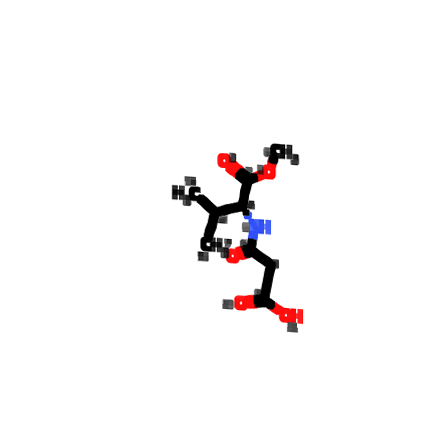 COC(=O)[C@H](NC(=O)CC(=O)O)C(C)C